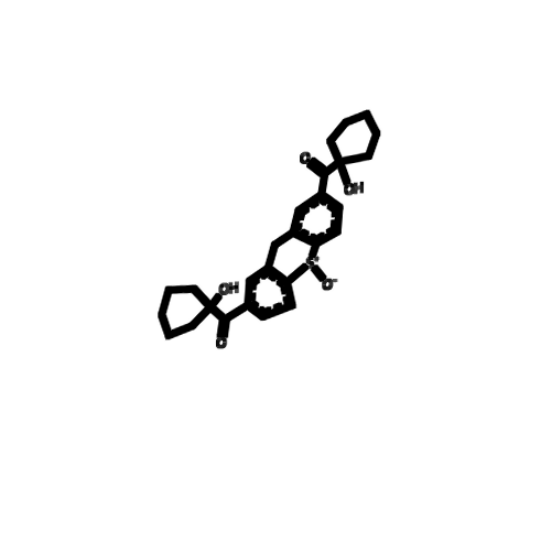 O=C(c1ccc2c(c1)Cc1cc(C(=O)C3(O)CCCCC3)ccc1[S+]2[O-])C1(O)CCCCC1